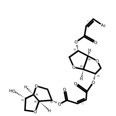 CC(=O)/C=C\C(=O)O[C@H]1CO[C@H]2[C@@H]1OC[C@@H]2OC(=O)/C=C\C(=O)O[C@H]1CO[C@H]2[C@@H]1OC[C@@H]2O